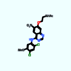 COc1cc(Nc2ncnc3cc(OCCNC(C)=O)c([N+](=O)[O-])cc23)c(Cl)cc1Cl